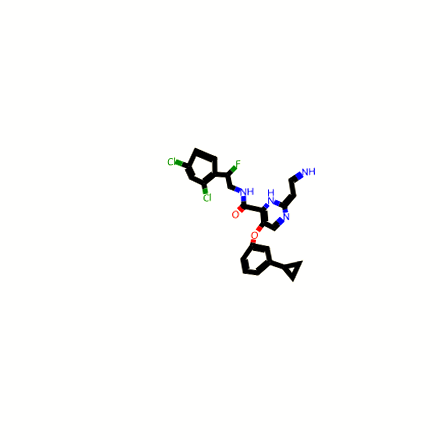 N=C/C=C1/N=CC(Oc2cccc(C3CC3)c2)=C(C(=O)NCC(F)c2ccc(Cl)cc2Cl)N1